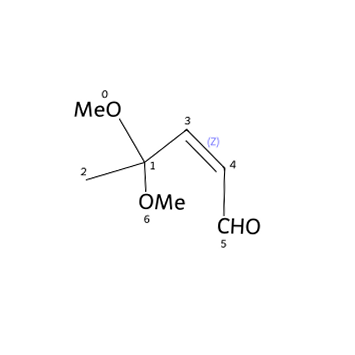 COC(C)(/C=C\C=O)OC